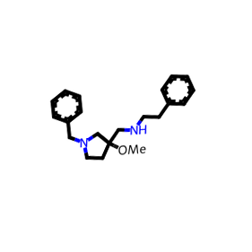 COC1(CNCCc2ccccc2)CCN(Cc2ccccc2)C1